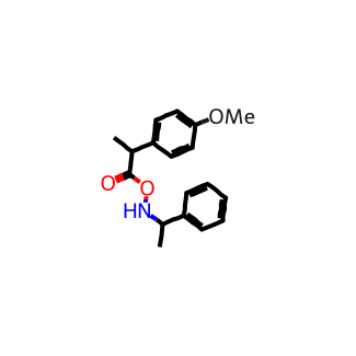 COc1ccc(C(C)C(=O)ONC(C)c2ccccc2)cc1